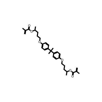 C=C(C)C(=O)OC(C)CCCOc1ccc(C(C)(C)c2ccc(OCCCC(C)OC(=O)C(=C)C)cc2)cc1